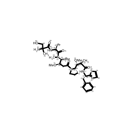 CC[C@H](C)[C@@H]([C@@H](CC(=O)N1CCC[C@H]1[C@H](OC)[C@@H](C)C(=O)N[C@@H](Cc1ccccc1)c1nccs1)OC)N(C)C(=O)[C@@H](NC(=O)C(C)(N)CO)C(C)C